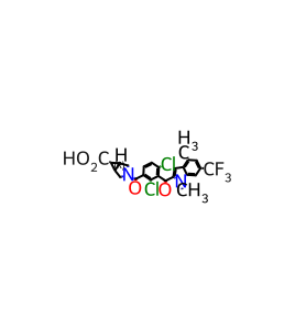 Cc1cc(C(F)(F)F)cc2c1cc(C(=O)c1c(Cl)ccc(C(=O)N3CC4C(C(=O)O)[C@@H]4C3)c1Cl)n2C